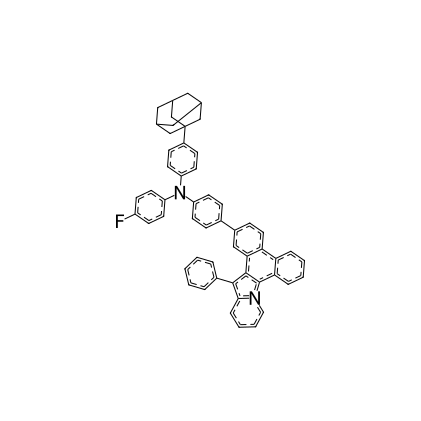 Fc1ccc(N(c2ccc(-c3ccc4c5ccccc5c5c(c(-c6ccccc6)c6ccccn65)c4c3)cc2)c2ccc(C34CC5CC(CC(C5)C3)C4)cc2)cc1